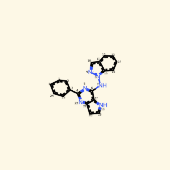 c1ccc(-c2nc(Nn3ncc4ccccc43)c3[nH]ccc3n2)cc1